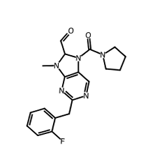 CN1c2nc(Cc3ccccc3F)ncc2N(C(=O)N2CCCC2)C1C=O